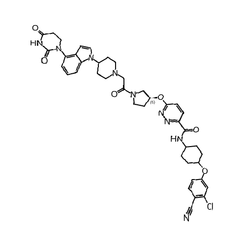 N#Cc1ccc(OC2CCC(NC(=O)c3ccc(O[C@H]4CCN(C(=O)CN5CCC(n6ccc7c(N8CCC(=O)NC8=O)cccc76)CC5)C4)nn3)CC2)cc1Cl